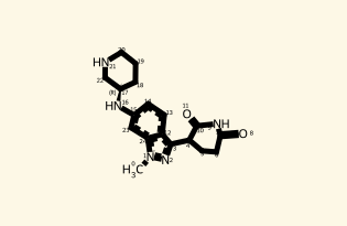 Cn1nc(C2CCC(=O)NC2=O)c2ccc(N[C@@H]3CCCNC3)cc21